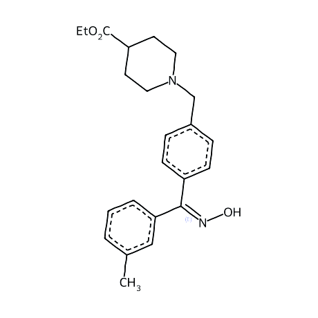 CCOC(=O)C1CCN(Cc2ccc(/C(=N\O)c3cccc(C)c3)cc2)CC1